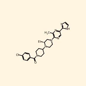 CC[C@H]1CN(c2ncc(-c3ncc[nH]3)nc2C)CCN1C1CCN(C(=O)c2ccc(Cl)cc2)CC1